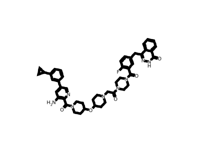 Nc1cc(-c2cccc(C3CC3)c2)cnc1C(=O)N1CCC(OC2CCN(CC(=O)N3CCN(C(=O)c4cc(Cc5n[nH]c(=O)c6ccccc56)ccc4F)CC3)CC2)CC1